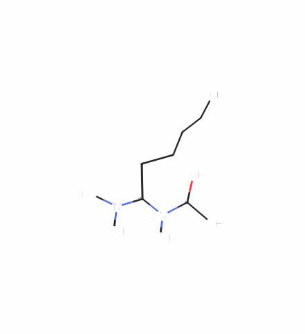 CCCCCC(N(C)C)N(C)C(C)O